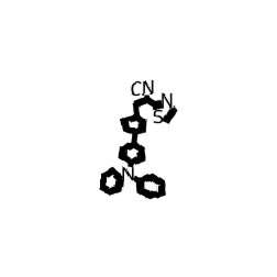 N#CC(=Cc1ccc(-c2ccc(N(c3ccccc3)c3ccccc3)cc2)cc1)c1nccs1